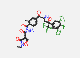 CCn1occ(C(=O)NC(=O)c2ccc(C(=O)C3=NO[C@@](c4cc(Cl)c(F)c(Cl)c4)(C(F)(F)F)C3)cc2C)c1=O